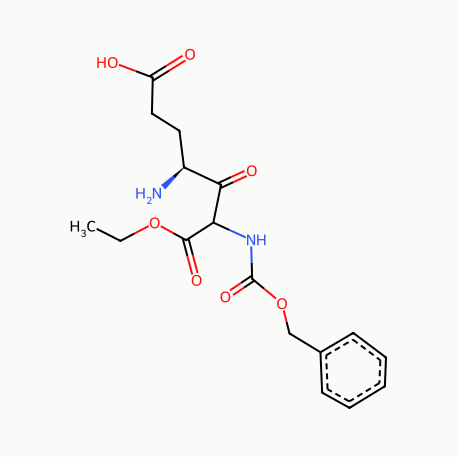 CCOC(=O)C(NC(=O)OCc1ccccc1)C(=O)[C@@H](N)CCC(=O)O